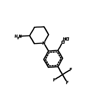 Cl.NC1CCCN(c2ccc(C(F)(F)F)cc2Cl)C1